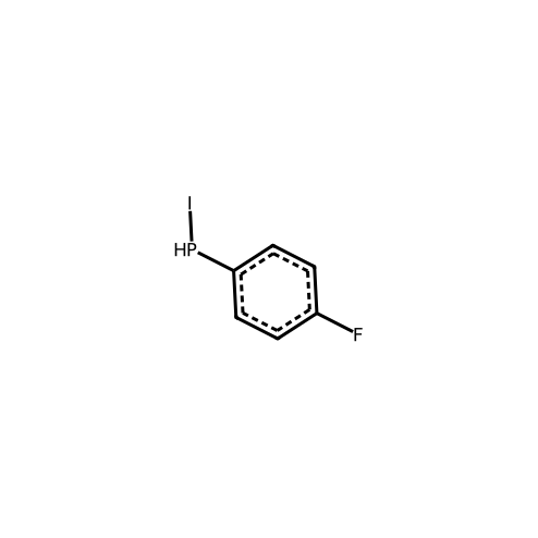 Fc1ccc(PI)cc1